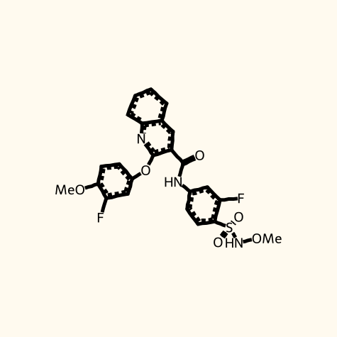 CONS(=O)(=O)c1ccc(NC(=O)c2cc3ccccc3nc2Oc2ccc(OC)c(F)c2)cc1F